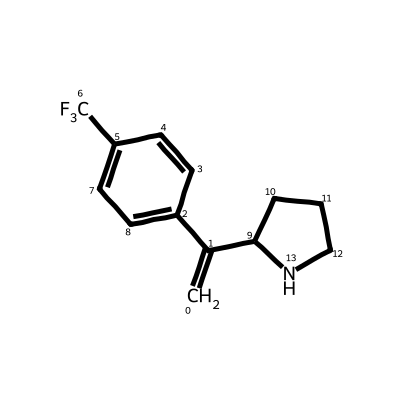 C=C(c1ccc(C(F)(F)F)cc1)C1CCCN1